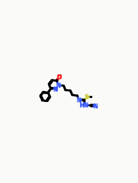 CSC(=NCCCCCn1nc(-c2ccccc2)ccc1=O)NC#N